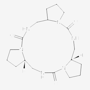 O=C1NC[C@@H]2CCCN2C(=O)NC[C@@H]2CCCN2C(=O)NCC2CCCN12